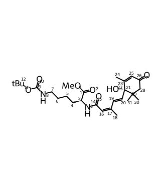 COC(=O)[C@H](CCCCNC(=O)OC(C)(C)C)NC(=O)/C=C(C)\C=C\[C@@]1(O)C(C)=CC(=O)CC1(C)C